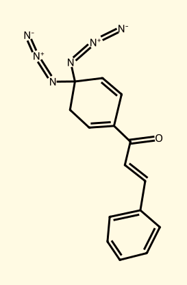 [N-]=[N+]=NC1(N=[N+]=[N-])C=CC(C(=O)C=Cc2ccccc2)=CC1